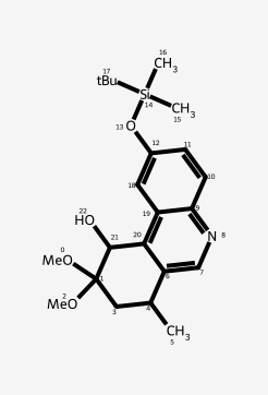 COC1(OC)CC(C)c2cnc3ccc(O[Si](C)(C)C(C)(C)C)cc3c2C1O